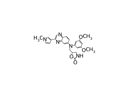 COc1cc(OC)cc(N(CC2CNC(=O)O2)c2ccc3ncc(-c4ccn(C)c4)nc3c2)c1